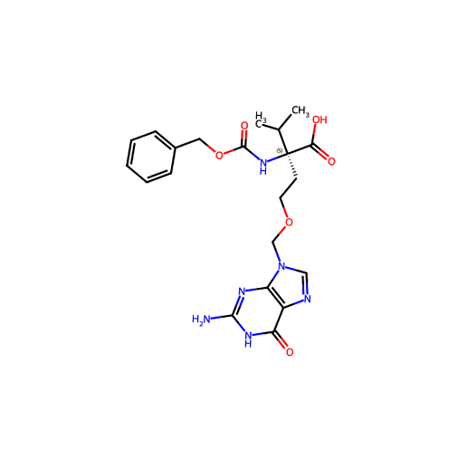 CC(C)[C@](CCOCn1cnc2c(=O)[nH]c(N)nc21)(NC(=O)OCc1ccccc1)C(=O)O